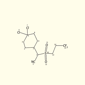 N#CC(C1CCC(Cl)(Cl)CC1)S(=O)(=O)CCC(F)(F)F